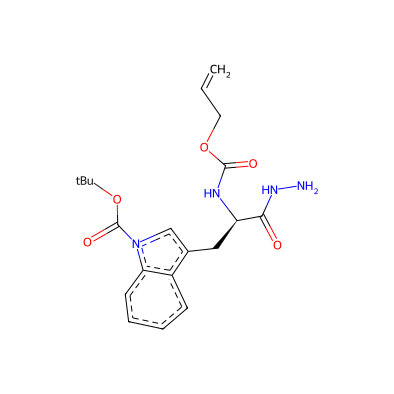 C=CCOC(=O)N[C@H](Cc1cn(C(=O)OC(C)(C)C)c2ccccc12)C(=O)NN